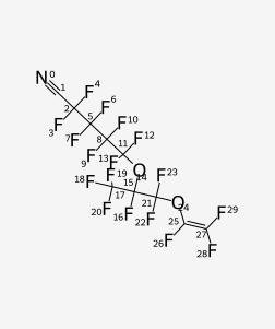 N#CC(F)(F)C(F)(F)C(F)(F)C(F)(F)OC(F)(C(F)(F)F)C(F)(F)OC(F)=C(F)F